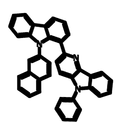 c1ccc(-n2c3ccccc3c3nc(-c4cccc5c6ccccc6n(-c6ccc7ccccc7c6)c45)ccc32)cc1